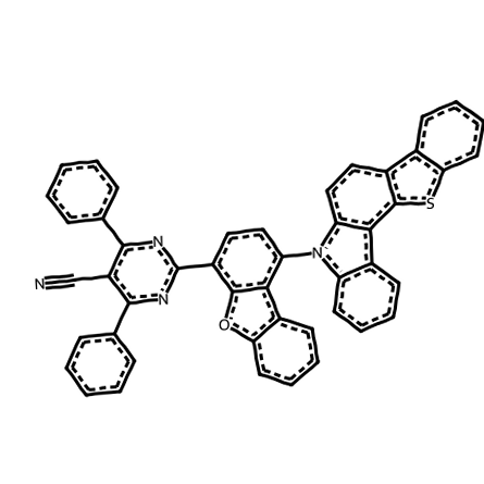 N#Cc1c(-c2ccccc2)nc(-c2ccc(-n3c4ccccc4c4c5sc6ccccc6c5ccc43)c3c2oc2ccccc23)nc1-c1ccccc1